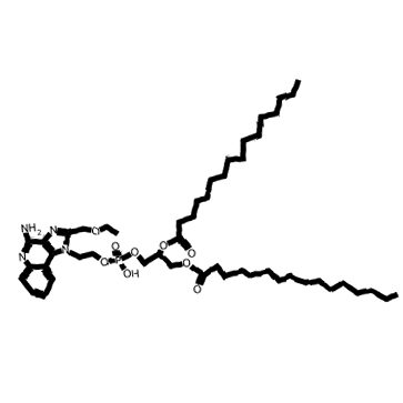 CCCCCCCCCCCCCCCC(=O)OCC(COP(=O)(O)OCCn1c(COCC)nc2c(N)nc3ccccc3c21)OC(=O)CCCCCCCCCCCCCCC